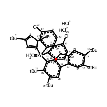 Cl.Cl.[CH2]=[Zr]([C]1=CC(C(C)(C)C)=CC1C(C)C)([c]1cccc(Cl)c1)([c]1cccc(Cl)c1)[c]1c2c(cc(C(C)(C)C)c1C(C)(C)C)-c1cc(C(C)(C)C)c(C(C)(C)C)cc1C2